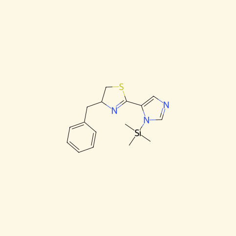 C[Si](C)(C)n1cncc1C1=NC(Cc2ccccc2)CS1